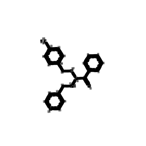 O=C(c1ccccc1)N(NCc1ccncc1)OCc1ccc(C(F)(F)F)cc1